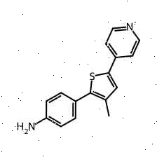 Cc1cc(-c2ccncc2)sc1-c1ccc(N)cc1